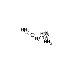 Nc1cc(Cc2cnn(Cc3cccc(CC4CCNCC4)c3)c2)c2[nH]nnc2n1